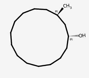 C[C@@H]1CCCCCCCCCCCC[C@@H](O)C1